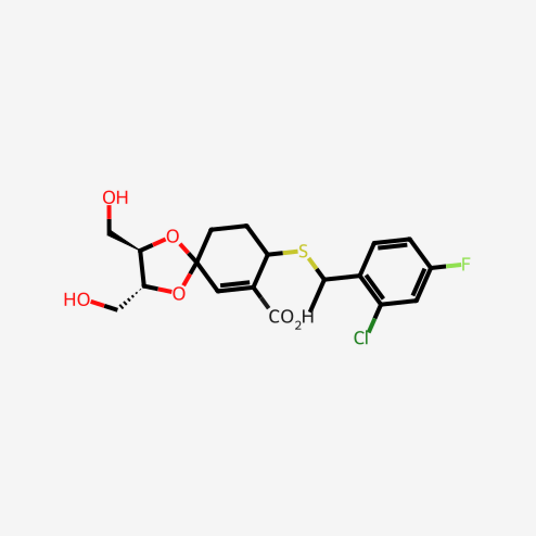 CC(SC1CCC2(C=C1C(=O)O)O[C@H](CO)[C@@H](CO)O2)c1ccc(F)cc1Cl